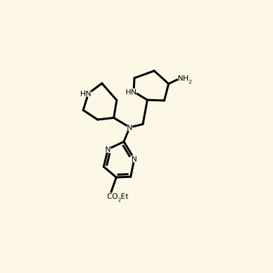 CCOC(=O)c1cnc(N(CC2CC(N)CCN2)C2CCNCC2)nc1